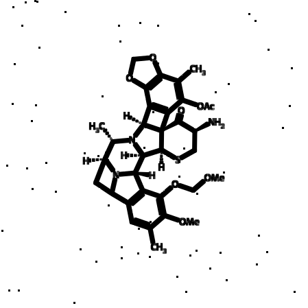 COCOc1c(OC)c(C)cc2c1[C@H]1[C@@H]3[C@@H]4SC[C@H](N)C(=O)[C@@]45c4c(OC(C)=O)c(C)c6c(c4[C@@H]5N3[C@@H](C)[C@@H]3CC2N31)OCO6